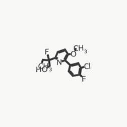 CCC(F)(CO)c1ccc(OC)c(-c2ccc(F)c(Cl)c2)n1